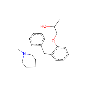 CC(O)COc1ccccc1Cc1ccccc1.CN1CCCCC1